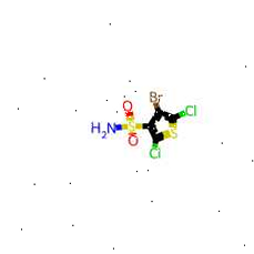 NS(=O)(=O)c1c(Cl)sc(Cl)c1Br